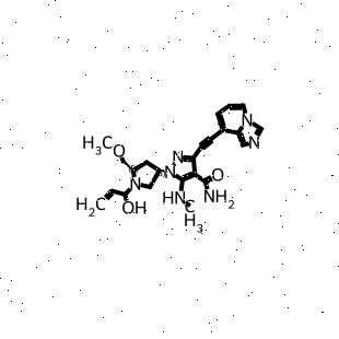 C=CC(O)N1C[C@@H](n2nc(C#Cc3cccn4cncc34)c(C(N)=O)c2NC)C[C@@H]1COC